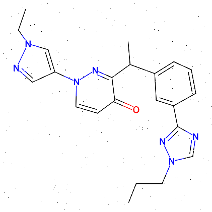 CCCn1cnc(-c2cccc(C(C)c3nn(-c4cnn(CC)c4)ccc3=O)c2)n1